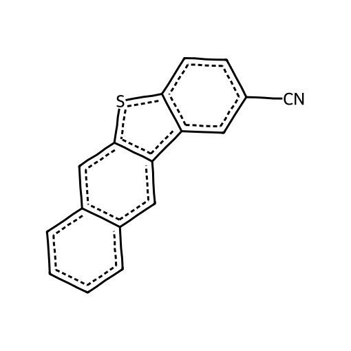 N#Cc1ccc2sc3cc4ccccc4cc3c2c1